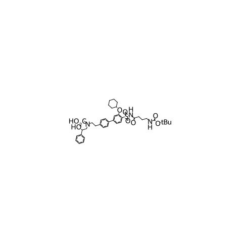 CC(C)(C)OC(=O)NCCCC(=O)NS(=O)(=O)c1ccc(-c2ccc(CCN(C[C@H](O)c3ccccc3)C(=O)O)cc2)cc1OC1CCCCC1